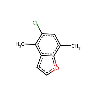 Cc1c(Cl)cc(C)c2occc12